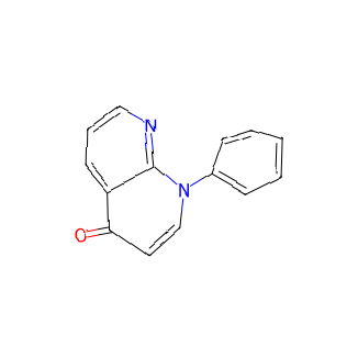 O=c1ccn(-c2ccccc2)c2ncccc12